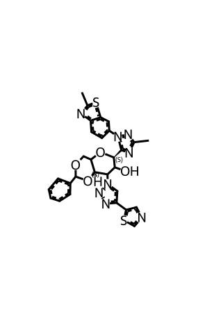 Cc1nc([C@@H]2OC3COC(c4ccccc4)O[C@@H]3C(n3cc(-c4cncs4)nn3)C2O)n(-c2ccc3nc(C)sc3c2)n1